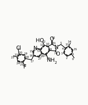 Cc1ccc(CN2C(=O)c3c(c(O)c4ncc(Cc5cc(Cl)c(C)cc5F)cc4c3N)C2=O)c(C)c1